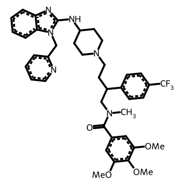 COc1cc(C(=O)N(C)CC(CCN2CCC(Nc3nc4ccccc4n3Cc3ccccn3)CC2)c2ccc(C(F)(F)F)cc2)cc(OC)c1OC